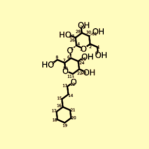 OCC1O[C@H](O[C@@H]2C(CO)O[C@@H](OCCCC3CCCCC3)C(O)C2O)C(O)C(O)[C@@H]1O